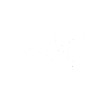 CCOc1ccc2c(-c3nnc(C4CC4)o3)c(-c3ccc(NC(=O)NC4CCC4)cc3)n(C3CCC3)c2c1